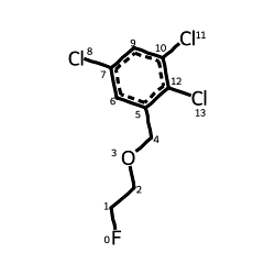 FCCOCc1cc(Cl)cc(Cl)c1Cl